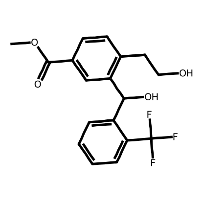 COC(=O)c1ccc(CCO)c(C(O)c2ccccc2C(F)(F)F)c1